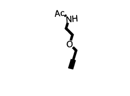 C#CCOCCNC(C)=O